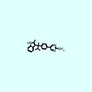 Cc1[nH]c2ccccc2c1C(C)(c1ccc(-c2cnc(N)nc2)cc1)C(C)C